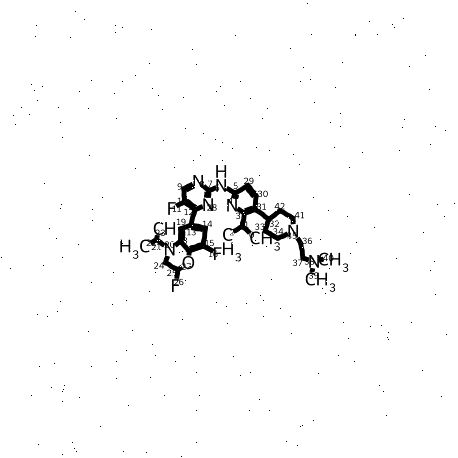 CC(C)c1nc(Nc2ncc(F)c(-c3cc(F)c4c(c3)N(C(C)C)CC(F)O4)n2)ccc1C1CCN(CCN(C)C)CC1